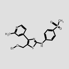 CCOCc1sc(Nc2ccc(S(C)(=O)=O)cc2)nc1-c1ccnc(C)c1